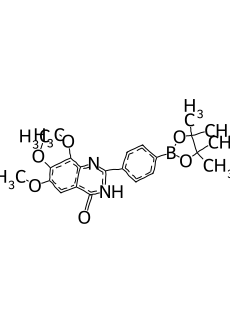 COc1cc2c(=O)[nH]c(-c3ccc(B4OC(C)(C)C(C)(C)O4)cc3)nc2c(OC)c1OC